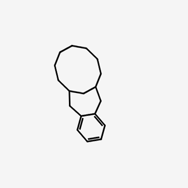 c1ccc2c(c1)CC1CCCCCCCC(C2)C1